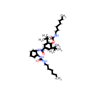 CCCCCCCNC(=O)Nc1ccccc1NC(=O)c1cc(C(C)(C)C)c(OC(=O)NCCCCCCC)c(C(C)(C)C)c1